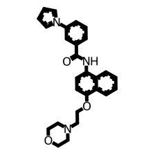 O=C(Nc1ccc(OCCN2CCOCC2)c2ccccc12)c1cccc(-n2cccc2)c1